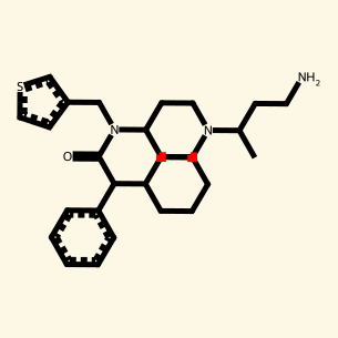 CC(CCN)N1CCC(N(Cc2ccsc2)C(=O)C(c2ccccc2)C2CCCCC2)CC1